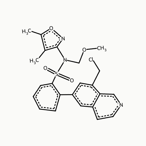 COCN(c1noc(C)c1C)S(=O)(=O)c1ccccc1-c1cc(CCl)c2cnccc2c1